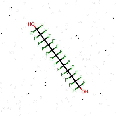 OC(F)(F)C(F)(F)C(F)(F)C(F)(F)C(F)(F)C(F)(F)C(F)(F)C(F)(F)C(F)(F)C(F)(F)C(F)(F)C(O)(F)F